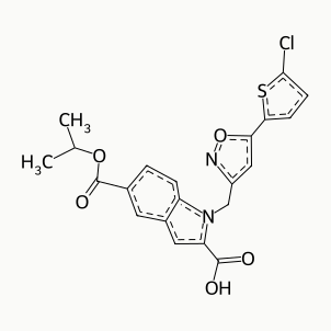 CC(C)OC(=O)c1ccc2c(c1)cc(C(=O)O)n2Cc1cc(-c2ccc(Cl)s2)on1